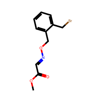 COC(=O)C=NOCc1ccccc1CBr